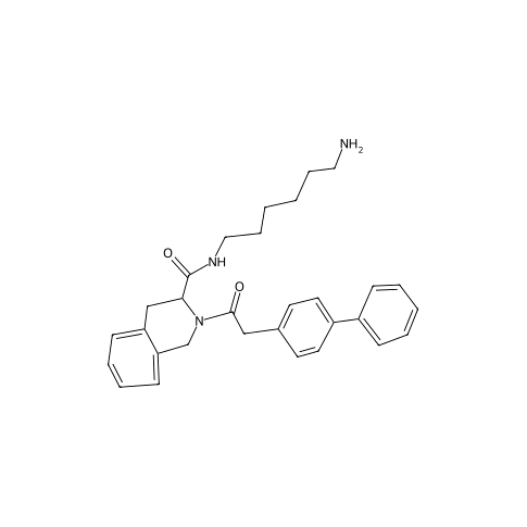 NCCCCCCNC(=O)C1Cc2ccccc2CN1C(=O)Cc1ccc(-c2ccccc2)cc1